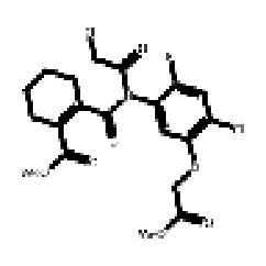 COC(=O)COc1cc(N(C(=O)CCl)C(=O)C2=C(C(=O)OC)CCCC2)c(F)cc1Cl